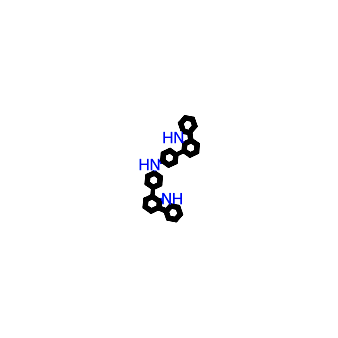 c1ccc2c(c1)[nH]c1c(-c3ccc(Nc4ccc(-c5cccc6c5[nH]c5ccccc56)cc4)cc3)cccc12